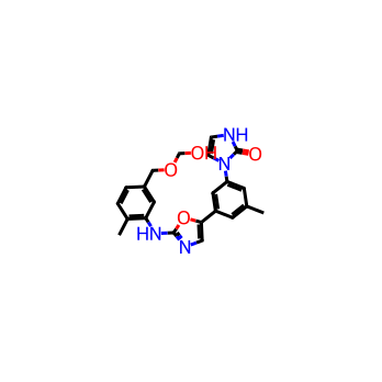 Cc1cc(-c2cnc(Nc3cc(COCO)ccc3C)o2)cc(-n2cc[nH]c2=O)c1